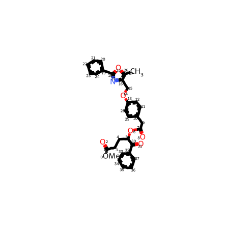 COC(=O)CCC(OC(=O)Cc1ccc(OCc2nc(-c3ccccc3)oc2C)cc1)C(=O)c1ccccc1